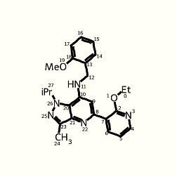 CCOc1ncccc1-c1cc(NCc2ccccc2OC)c2c(n1)c(C)nn2C(C)C